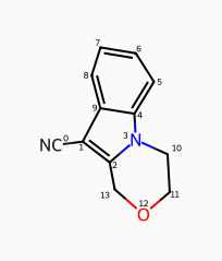 N#Cc1c2n(c3ccccc13)CCOC2